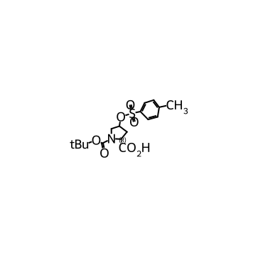 Cc1ccc(S(=O)(=O)OC2C[C@H](C(=O)O)N(C(=O)OC(C)(C)C)C2)cc1